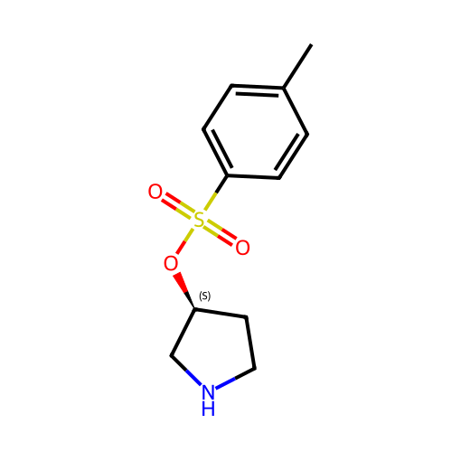 Cc1ccc(S(=O)(=O)O[C@H]2CCNC2)cc1